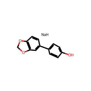 Oc1ccc(-c2ccc3c(c2)OCO3)cc1.[NaH]